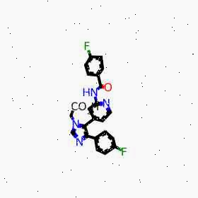 O=C(O)Cn1cnc(-c2ccc(F)cc2)c1-c1ccnc(NC(=O)c2ccc(F)cc2)c1